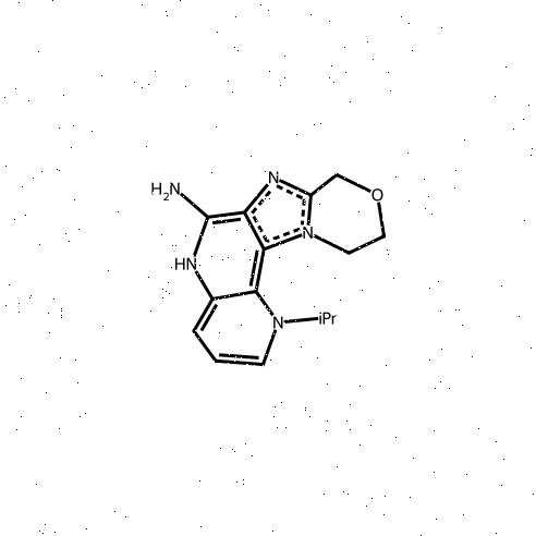 CC(C)N1C=CC=C2NC(N)=c3nc4n(c3=C21)CCOC4